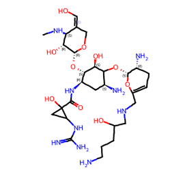 CN[C@H]1/C(=C\O)CO[C@H](O[C@H]2[C@H](NC(=O)C3(O)CC3NC(=N)N)C[C@H](N)C(O[C@H]3OC(CNCC(O)CCCN)=CC[C@H]3N)[C@@H]2O)[C@@H]1O